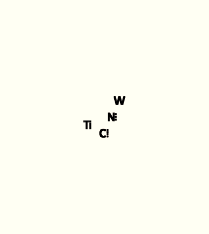 [C].[N].[Ti].[W]